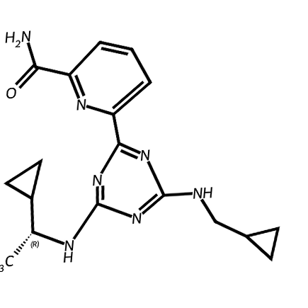 C[C@@H](Nc1nc(NCC2CC2)nc(-c2cccc(C(N)=O)n2)n1)C1CC1